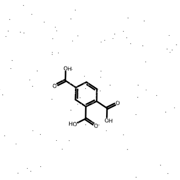 O=C(O)c1c[c]c(C(=O)O)c(C(=O)O)c1